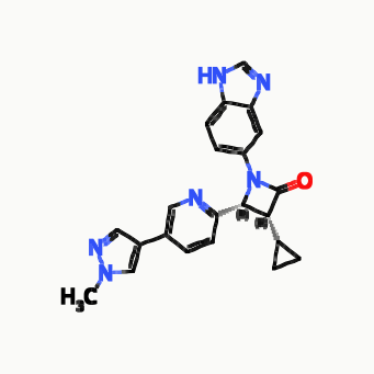 Cn1cc(-c2ccc([C@H]3[C@@H](C4CC4)C(=O)N3c3ccc4[nH]cnc4c3)nc2)cn1